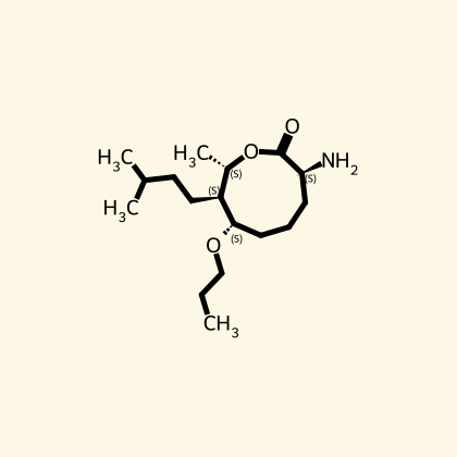 CCCO[C@H]1CCC[C@H](N)C(=O)O[C@@H](C)[C@@H]1CCC(C)C